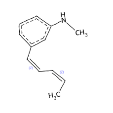 C/C=C\C=C/c1cccc(NC)c1